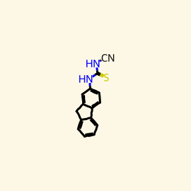 N#CNC(=S)Nc1ccc2c(c1)Cc1ccccc1-2